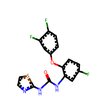 O=C(Nc1nccs1)Nc1cc(F)ccc1Oc1ccc(F)c(F)c1